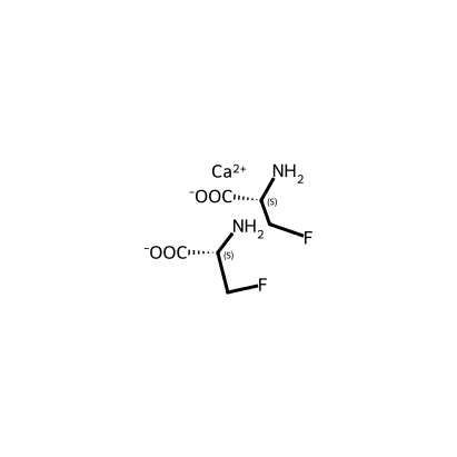 N[C@H](CF)C(=O)[O-].N[C@H](CF)C(=O)[O-].[Ca+2]